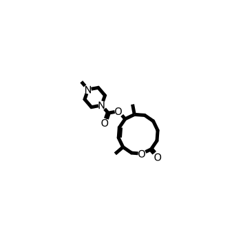 CC1C=CC(OC(=O)N2CCN(C)CC2)C(C)CCCCC(=O)OC1